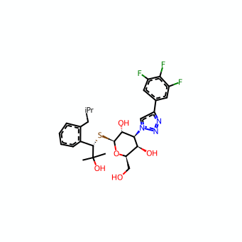 CC(C)Cc1ccccc1[C@H](S[C@@H]1O[C@H](CO)[C@H](O)[C@H](n2cc(-c3cc(F)c(F)c(F)c3)nn2)[C@H]1O)C(C)(C)O